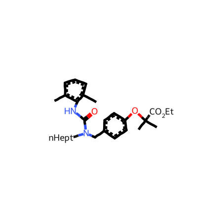 CCCCCCCN(Cc1ccc(OC(C)(C)C(=O)OCC)cc1)C(=O)Nc1c(C)cccc1C